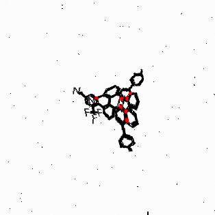 Cc1ccc(-c2ccc3c(c2)c2ccccc2n3-c2cccc(C#N)c2-c2c(-c3ccc(C#N)cc3C(F)(F)F)cccc2-n2c3ccccc3c3cc(-c4ccc(C)cc4)ccc32)cc1